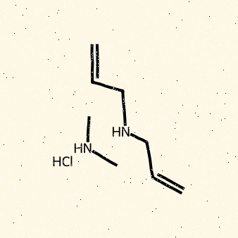 C=CCNCC=C.CNC.Cl